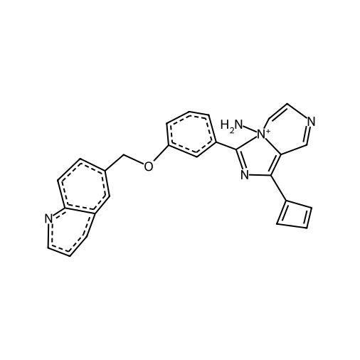 N[N+]12C=CN=CC1=C(C1=CC=C1)N=C2c1cccc(OCc2ccc3ncccc3c2)c1